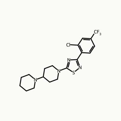 FC(F)(F)c1ccc(-c2nsc(N3CCC(N4CCCCC4)CC3)n2)c(Cl)c1